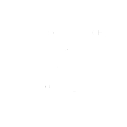 CCC(=O)C1(CF)CCCO1